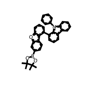 CC1(C)OB(c2ccc3c(c2)oc2cccc(-c4cccc5c6ccccc6n(-c6ccccc6)c45)c23)OC1(C)C